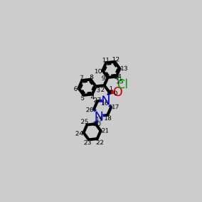 O=C([C](c1ccccc1)c1ccccc1Cl)N1CCN(C2CCCCC2)CC1